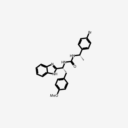 COc1ccc(C[C@@H](NC(=O)N[C@@H](C)c2ccc(Br)cc2)c2nc3ccccc3[nH]2)cc1